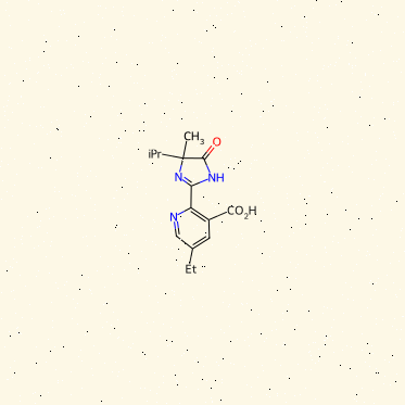 CCc1cnc(C2=NC(C)(C(C)C)C(=O)N2)c(C(=O)O)c1